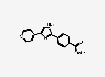 Br.COC(=O)c1ccc(-c2nc(-c3ccncc3)cs2)cc1